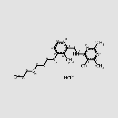 Cc1nc(C)c(Cl)c(NCc2nccc(SCCCSCCCl)c2C)n1.Cl